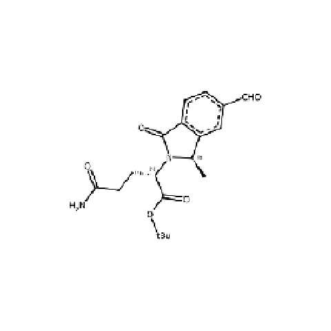 C[C@@H]1c2cc(C=O)ccc2C(=O)N1[C@@H](CCC(N)=O)C(=O)OC(C)(C)C